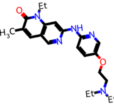 CCN(CC)CCOc1ccc(Nc2cc3c(cn2)cc(C)c(=O)n3CC)nc1